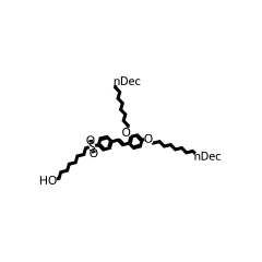 CCCCCCCCCCCCCCCCCCOc1ccc(C=Cc2ccc(S(=O)(=O)CCCCCCCCO)cc2)c(OCCCCCCCCCCCCCCCCCC)c1